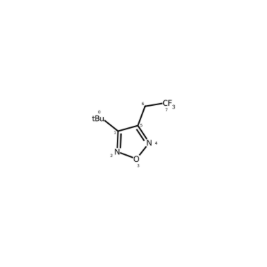 CC(C)(C)c1nonc1CC(F)(F)F